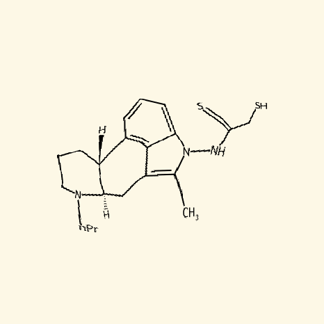 CCCN1CCC[C@@H]2c3cccc4c3c(c(C)n4NC(=S)CS)C[C@H]21